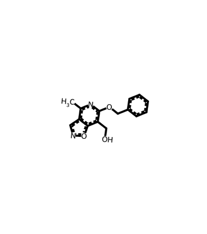 Cc1nc(OCc2ccccc2)c(CO)c2oncc12